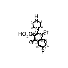 CCn1c(N2CCNCC2)c(C(=O)O)c(=O)c2cc(F)cnc21